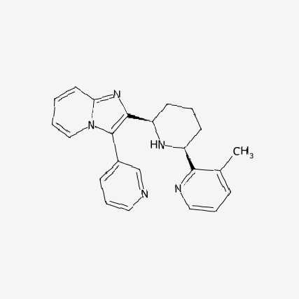 Cc1cccnc1[C@@H]1CCC[C@H](c2nc3ccccn3c2-c2cccnc2)N1